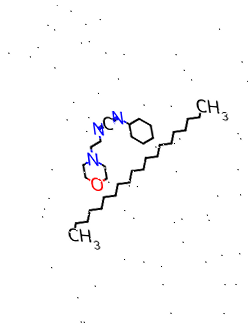 C(=NCCN1CCOCC1)=NC1CCCCC1.CCCCCCCCCCCCCCCCCCCC